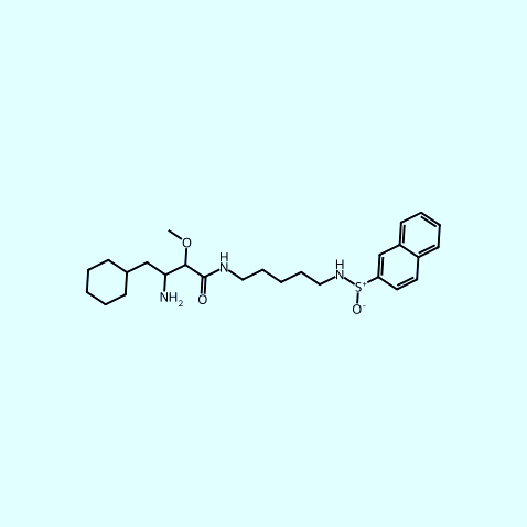 COC(C(=O)NCCCCCN[S+]([O-])c1ccc2ccccc2c1)C(N)CC1CCCCC1